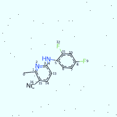 Cc1nc(Nc2ccc(F)cc2F)ccc1C#N